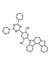 N#Cc1cc(-n2c3ccccc3c3c4c(ccc32)sc2ccccc24)c(C#N)cc1-c1nc(-c2ccccc2)nc(-c2ccccc2)n1